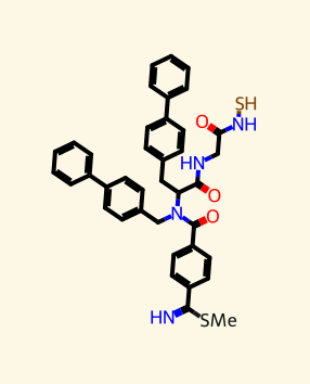 CSC(=N)c1ccc(C(=O)N(Cc2ccc(-c3ccccc3)cc2)C(Cc2ccc(-c3ccccc3)cc2)C(=O)NCC(=O)NS)cc1